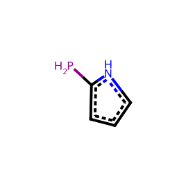 Pc1ccc[nH]1